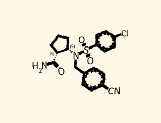 N#Cc1ccc(CN([C@H]2CCC[C@H]2C(N)=O)S(=O)(=O)c2ccc(Cl)cc2)cc1